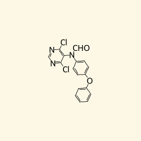 O=CN(c1ccc(Oc2ccccc2)cc1)c1c(Cl)ncnc1Cl